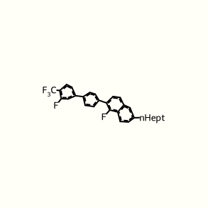 CCCCCCCc1ccc2c(F)c(-c3ccc(-c4ccc(C(F)(F)F)c(F)c4)cc3)ccc2c1